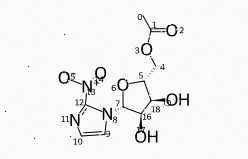 CC(=O)OC[C@H]1O[C@@H](n2ccnc2[N+](=O)[O-])[C@H](O)[C@@H]1O